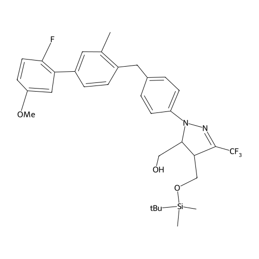 COc1ccc(F)c(-c2ccc(Cc3ccc(N4N=C(C(F)(F)F)C(CO[Si](C)(C)C(C)(C)C)C4CO)cc3)c(C)c2)c1